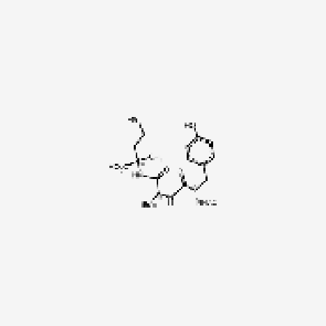 CC[C@H](C)[C@H](NC(=O)[C@H](Cc1ccc(O)cc1)NC(C)=O)C(=O)N[C@@](C)(CCC(C)(C)C)C(=O)O